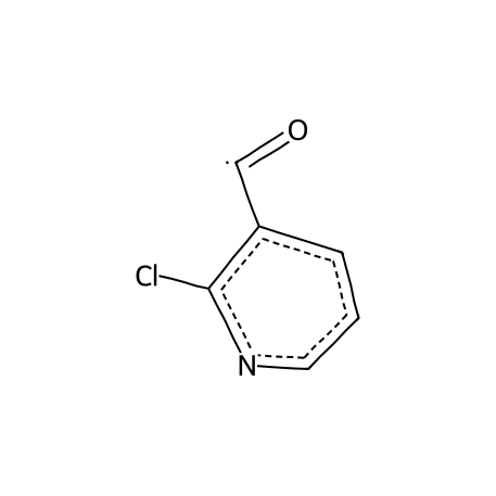 O=[C]c1cccnc1Cl